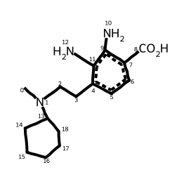 CN(CCc1ccc(C(=O)O)c(N)c1N)C1CCCCC1